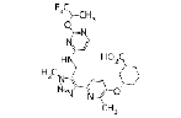 Cc1nc(-c2nnn(C)c2CNc2ccnc(OC(C)C(F)(F)F)n2)ccc1O[C@H]1CCC[C@H](C(=O)O)C1